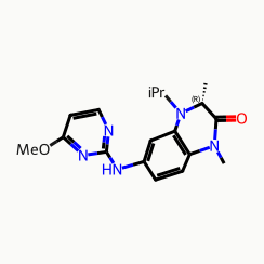 COc1ccnc(Nc2ccc3c(c2)N(C(C)C)[C@H](C)C(=O)N3C)n1